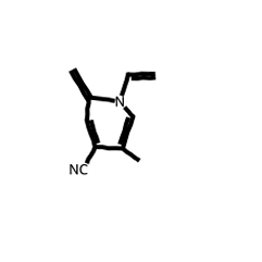 C=CN1C=C(C)C(C#N)=CC1=C